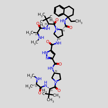 CCC1(NC(=O)[C@@H]2C[C@H](NC(=O)c3cc(C(=O)N[C@H]4CCN(C(=O)[C@@H](NC(=O)[C@H](C)NC)C(C)(C)C)C4)n[nH]3)CN2C(=O)[C@@H](NC(=O)[C@H](C)NC)C(C)(C)C)CCCc2ccccc21